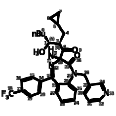 CCCC[C@H](O)[C@@H](CC1CC1)C(=O)C1(N)N=C(c2ccc(C(F)(F)F)cc2)c2ccccc2N(Cc2cccnc2)C1=O